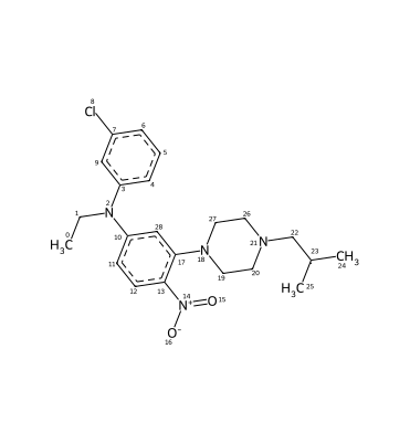 CCN(c1cccc(Cl)c1)c1ccc([N+](=O)[O-])c(N2CCN(C[C](C)C)CC2)c1